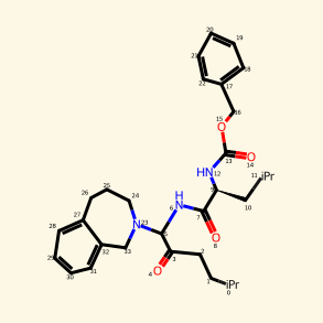 CC(C)CCC(=O)C(NC(=O)[C@H](CC(C)C)NC(=O)OCc1ccccc1)N1CCCc2ccccc2C1